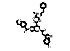 CNC(=O)[C@H](CCCc1ccccc1)NC(=O)C1CN(C(=O)Cc2c[nH]c3cc(Cl)ccc23)CC2CN(C(=O)c3ccc4c(c3)CCO4)CC21